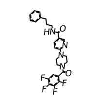 O=C(NCCCc1ccccc1)c1ccc(N2CCN(C(=O)c3cc(F)c(F)c(F)c3F)CC2)nc1